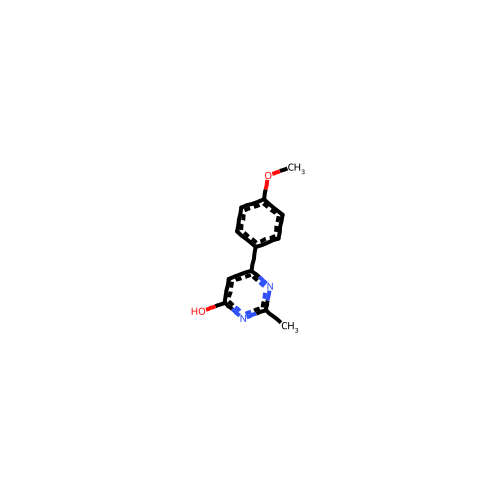 COc1ccc(-c2cc(O)nc(C)n2)cc1